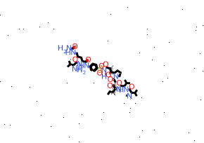 CC[C@@H](C)[C@@H]([C@@H](CC(=O)N1CCCC1[C@H](OC)[C@@H](C)C(=O)NS(=O)(=O)c1ccc(NC(=O)C(CCCNC(N)=O)NC(=O)C(N)C(C)C)cc1)OC)N(C)C(=O)C(NC(=O)C(C(C)C)N(C)C)C(C)C